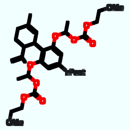 C=C(C)C1CCC(C)=CC1c1c(OC(C)OC(=O)OCCOC)cc(CCCCC)cc1OC(C)OC(=O)OCCOC